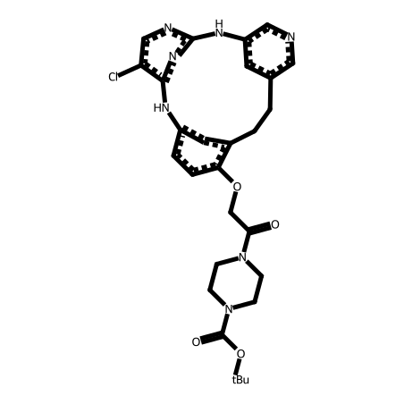 CC(C)(C)OC(=O)N1CCN(C(=O)COc2ccc3cc2CCc2cncc(c2)Nc2ncc(Cl)c(n2)N3)CC1